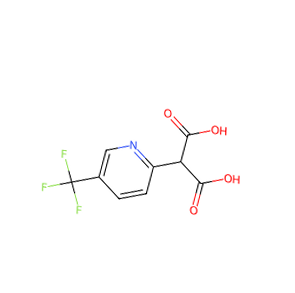 O=C(O)C(C(=O)O)c1ccc(C(F)(F)F)cn1